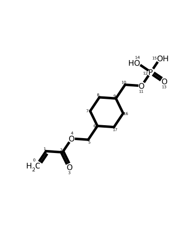 C=CC(=O)OCC1CCC(COP(=O)(O)O)CC1